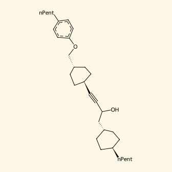 CCCCCc1ccc(OC[C@H]2CC[C@H](C#CC(O)C[C@H]3CC[C@H](CCCCC)CC3)CC2)cc1